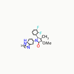 COC1=C(C)C(c2cccc(F)c2F)N(c2ccc3[nH][14cH]nc3c2)C1=O